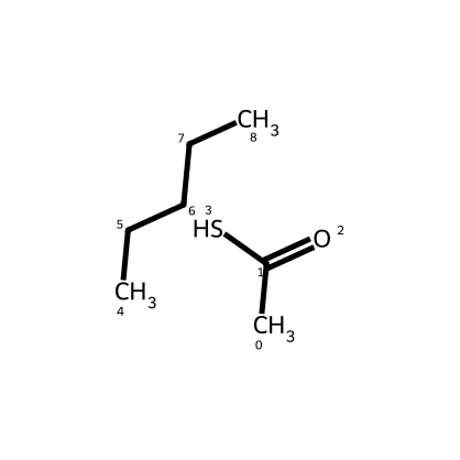 CC(=O)S.CCCCC